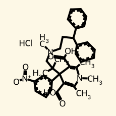 CC1=C(C(=O)O)C(c2cccc([N+](=O)[O-])c2)(C(C)(C)CN(C)CCC(c2ccccc2)c2ccccc2)C(C(=O)O)=C(C)N1C.Cl